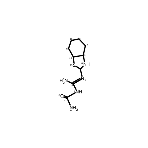 NC(=O)N/C(N)=N/C1NC2CCCCC2S1